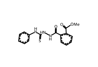 COC(=O)c1ccccc1C(=O)NNC(=S)Nc1ccccc1